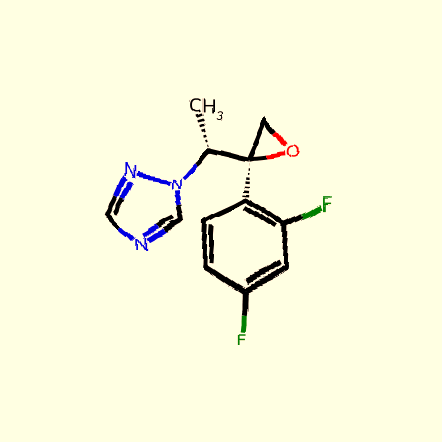 C[C@@H](n1cncn1)[C@@]1(c2ccc(F)cc2F)CO1